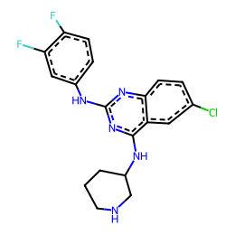 Fc1ccc(Nc2nc(NC3CCCNC3)c3cc(Cl)ccc3n2)cc1F